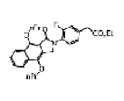 CCCOc1c2c(c(OCCC)c3ccccc13)C(=O)N(c1ccc(CC(=O)OCC)cc1F)C2